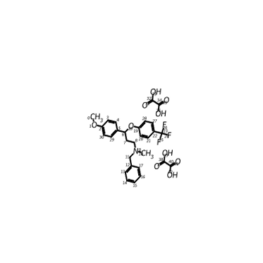 COc1ccc(C(CCN(C)Cc2ccccc2)Oc2ccc(C(F)(F)F)cc2)cc1.O=C(O)C(=O)O.O=C(O)C(=O)O